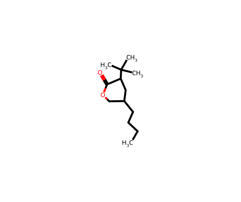 CCCCC1COC(=O)C(C(C)(C)C)C1